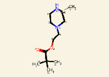 C[C@@H]1CN(CCOC(=O)C(C)(C)C)CCN1